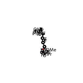 COC(=O)N[C@H](C(=O)N1CC2(CC2)C[C@H]1c1ncc(-c2ccc3c(c2)C(F)(F)c2cc(-c4ccc5c(c4)C(C)C([C@]4(C)[C@H]6CC[C@H](C6)N4C(=O)[C@@H](NC(=O)OC)C(C)C)=N5)ccc2-3)[nH]1)C(C)C